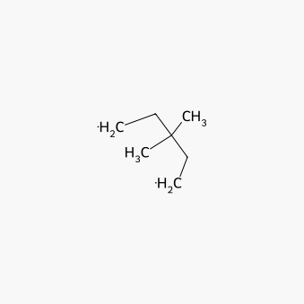 [CH2]CC(C)(C)C[CH2]